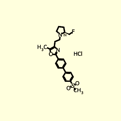 Cc1oc(-c2ccc(-c3ccc(S(C)(=O)=O)cc3)cc2)nc1CCN1CCC[C@H]1CF.Cl